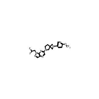 FC(F)Cn1ncc2ncc(N3CCC4(CN(c5ccc(OC(F)(F)F)nc5)C4)C3)nc21